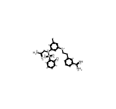 Cc1cc(OCCc2cccc(C(=N)N)c2)cc(N(CC(N)=O)S(=O)(=O)c2ccccc2Cl)c1